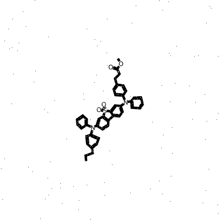 CCCc1ccc(N(c2ccccc2)c2ccc3c(c2)S(=O)(=O)c2cc(N(c4ccccc4)c4ccc(CCC(=O)OC)cc4)ccc2-3)cc1